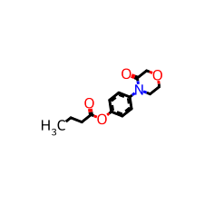 CCCC(=O)Oc1ccc(N2CCOCC2=O)cc1